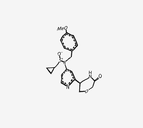 COc1ccc(CN(c2ccnc(C3COCC(=O)N3)c2)[S+]([O-])C2CC2)cc1